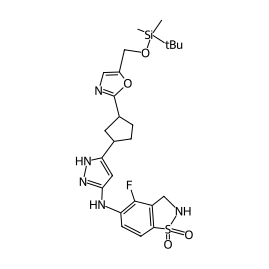 CC(C)(C)[Si](C)(C)OCc1cnc(C2CCC(c3cc(Nc4ccc5c(c4F)CNS5(=O)=O)n[nH]3)C2)o1